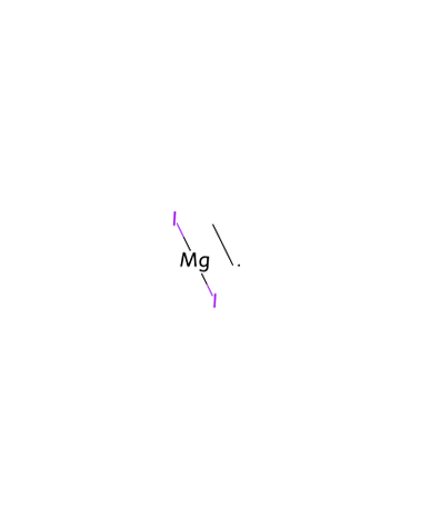 [CH2]C.[I][Mg][I]